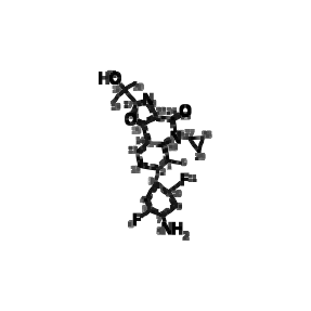 Cc1c(-c2cc(F)c(N)cc2F)ccc2c3oc(C(C)(C)O)nc3c(=O)n(C3CC3)c12